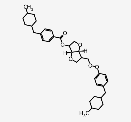 CC1CCC(Cc2ccc(OOCC3CO[C@@H]4C(OC(=O)c5ccc(CC6CCC(C)CC6)cc5)CO[C@H]34)cc2)CC1